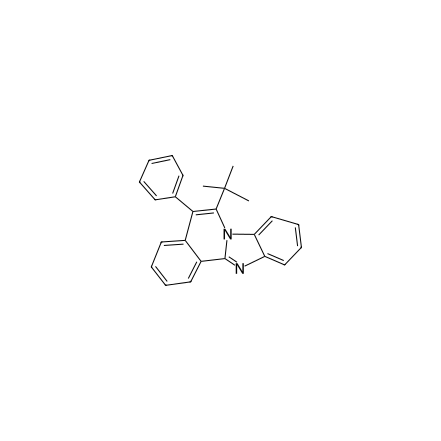 CC(C)(C)c1c(-c2ccccc2)c2ccccc2c2nc3ccccc3n12